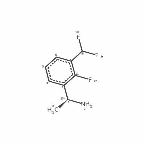 C[C@H](N)c1cccc(C(F)F)c1F